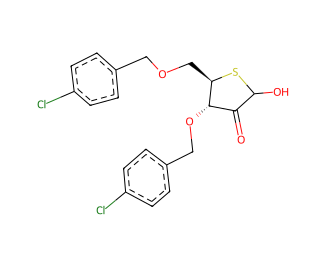 O=C1C(O)S[C@H](COCc2ccc(Cl)cc2)[C@H]1OCc1ccc(Cl)cc1